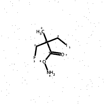 CC(CF)(CI)C(=O)ON